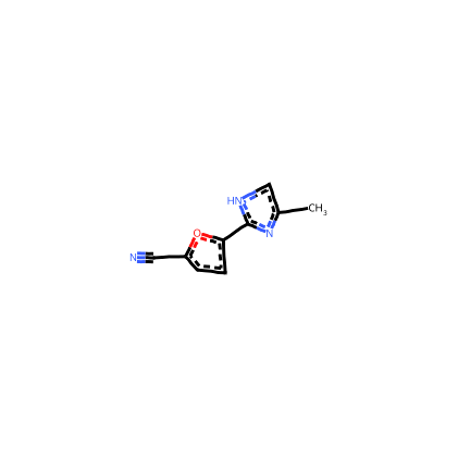 Cc1c[nH]c(-c2ccc(C#N)o2)n1